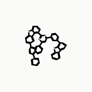 c1ccc(-c2ccc(-c3ccc4sc5cccc(-c6nc(-c7ccccc7)cc(-c7cccc(-c8cccc9c8sc8ccccc89)c7)n6)c5c4c3)cc2)cc1